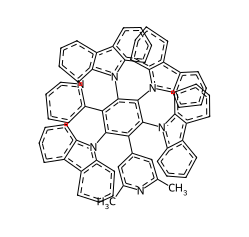 Cc1cc(-c2c(-n3c4ccccc4c4ccccc43)c(-c3ccccn3)c(-n3c4ccccc4c4ccccc43)c(-n3c4ccccc4c4ccccc43)c2-n2c3ccccc3c3ccccc32)cc(C)n1